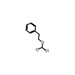 CCC([O])OCCc1ccccc1